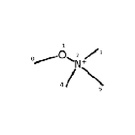 CO[N+](C)(C)C